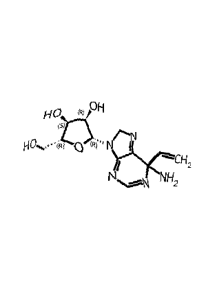 C=CC1(N)N=CN=C2C1=NCN2[C@@H]1O[C@H](CO)[C@@H](O)[C@H]1O